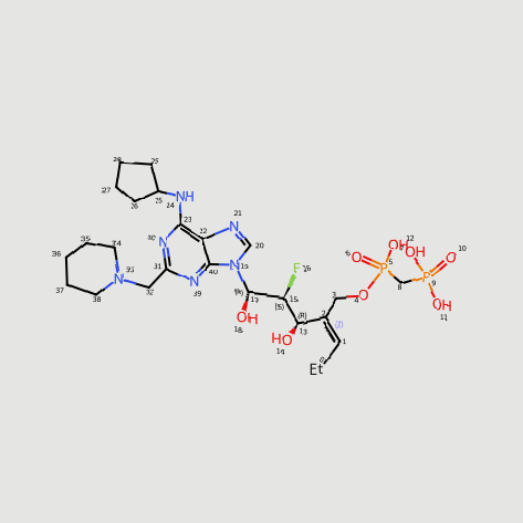 CC/C=C(/COP(=O)(O)CP(=O)(O)O)[C@@H](O)[C@H](F)[C@@H](O)n1cnc2c(NC3CCCC3)nc(CN3CCCCC3)nc21